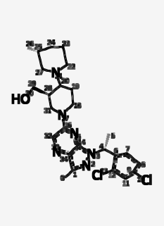 Cc1nn([C@H](C)c2ccc(Cl)cc2Cl)c2nc(N3CCC(N4CCC[C@@H](C)C4)[C@H](CO)C3)cnc12